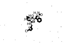 NC(=O)n1cc(NC(=O)N2[C@@H]3C[C@@H]3C[C@H]2C(=O)NCc2ccc(Cl)s2)c2ccccc21